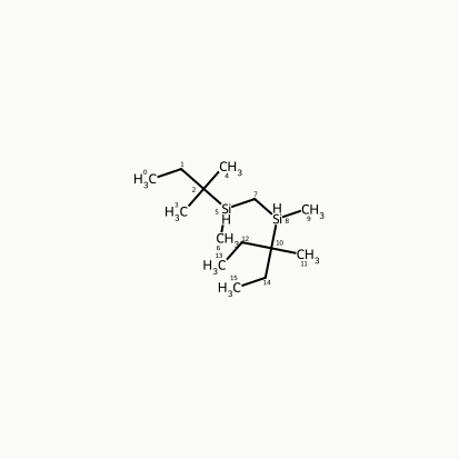 CCC(C)(C)[SiH](C)C[SiH](C)C(C)(CC)CC